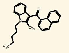 CCCCCn1c(C)c(C(=O)c2cccc3ccccc23)c2ccccc21